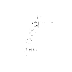 Cc1cc(OCC2(C(=O)OC(C)(C)C)CCC2)ncc1-c1ccc(-c2nc(OC(C)C)n(COCC[Si](C)(C)C)n2)nc1